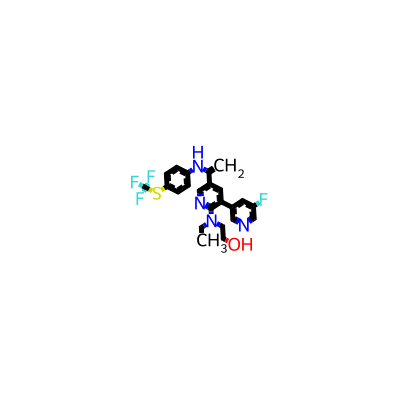 C=C(Nc1ccc(SC(F)(F)F)cc1)c1cnc(N(CC)CCO)c(-c2cncc(F)c2)c1